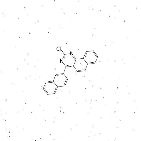 Clc1nc(-c2ccc3ccccc3c2)c2ccc3ccccc3c2n1